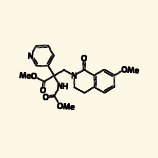 COC(=O)NC(CN1CCc2ccc(OC)cc2C1=O)(C(=O)OC)c1cccnc1